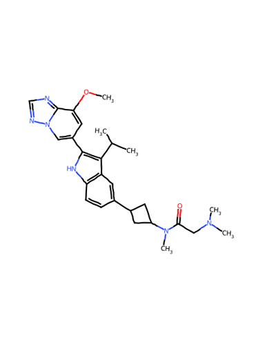 COc1cc(-c2[nH]c3ccc(C4CC(N(C)C(=O)CN(C)C)C4)cc3c2C(C)C)cn2ncnc12